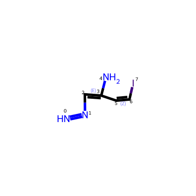 N=N/C=C(N)\C=C/I